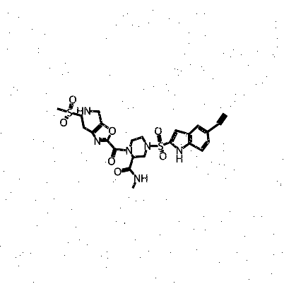 C#Cc1ccc2[nH]c(S(=O)(=O)N3CCN(C(=O)c4nc5c(o4)CNC(S(C)(=O)=O)C5)C(C(=O)NC)C3)cc2c1